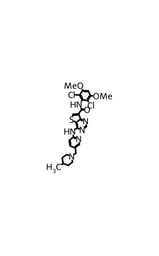 COc1cc(OC)c(Cl)c(NC(=O)c2csc3c(Nc4ccc(CN5CCC(C)CC5)cn4)ncnc23)c1Cl